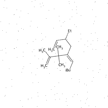 C=CC(CC)CC(=CC(C)CC)C(C)(C)C(=C)C